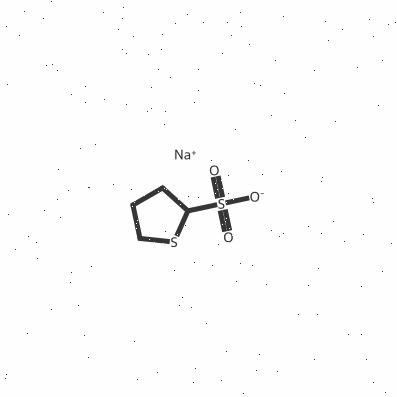 O=S(=O)([O-])C1CCCS1.[Na+]